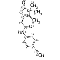 C#Cc1ccc(NC(=O)C[C@H]2OC(=O)C(C)(C)C2=C)cc1